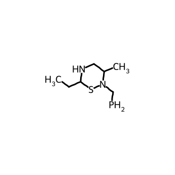 CCC1NCC(C)N(CP)S1